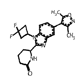 Cc1noc(C)c1-c1ccc2c(c1)nc(C1CCCC(=O)N1)n2C1CC(F)(F)C1